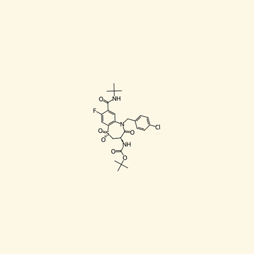 CC(C)(C)NC(=O)c1cc2c(cc1F)S(=O)(=O)C[C@H](NC(=O)OC(C)(C)C)C(=O)N2Cc1ccc(Cl)cc1